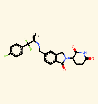 C=C(NCc1ccc2c(c1)CN(C1CCC(=O)NC1=O)C2=O)C(F)(F)c1ccc(F)cc1